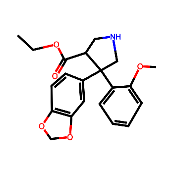 CCOC(=O)C1CNCC1(c1ccc2c(c1)OCO2)c1ccccc1OC